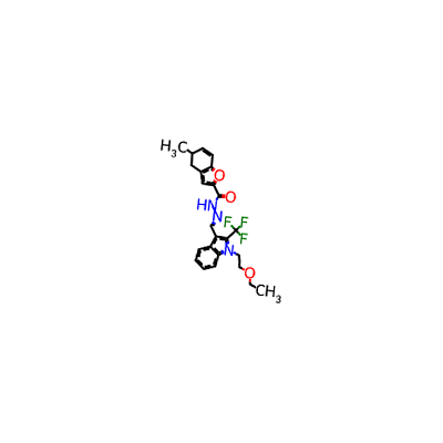 CCOCCn1c(C(F)(F)F)c(/C=N/NC(=O)c2cc3c(o2)C=CC(C)C3)c2ccccc21